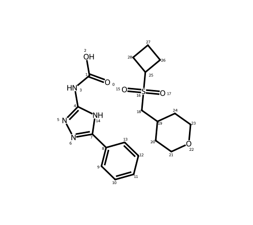 O=C(O)Nc1nnc(-c2ccccc2)[nH]1.O=S(=O)(CC1CCOCC1)C1CCC1